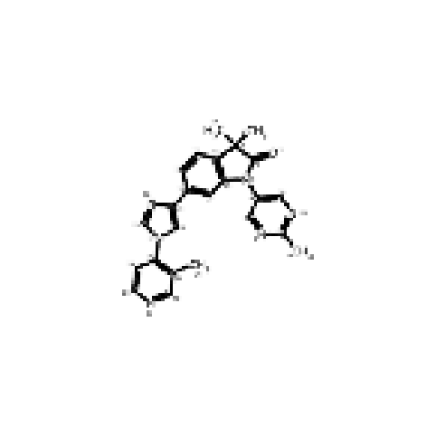 Cc1ncc(N2C(=O)C(C)(C)c3ccc(-c4cn(-c5ccncc5C)cn4)cc32)cn1